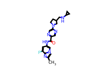 Cc1cn2cc(NC(=O)c3cnc(N4CCC(CNC5CC5)C4)cn3)cc(F)c2n1